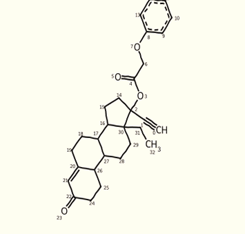 C#CC1(OC(=O)COc2ccccc2)CCC2C3CCC4=CC(=O)CCC4C3CCC21CC